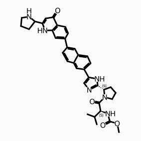 COC(=O)N[C@H](C(=O)N1CCC[C@H]1c1ncc(-c2ccc3cc(-c4ccc5c(=O)cc(C6CCCN6)[nH]c5c4)ccc3c2)[nH]1)C(C)C